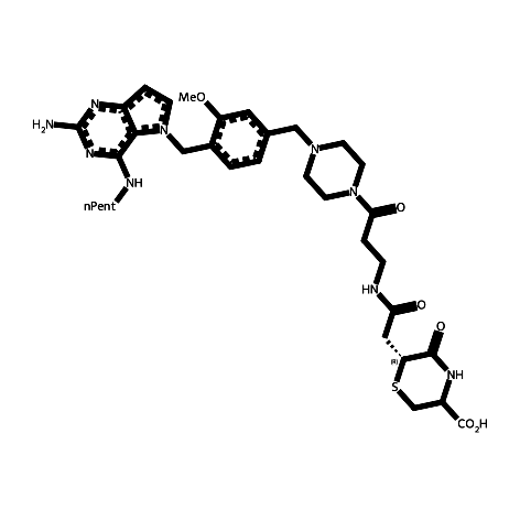 CCCCCNc1nc(N)nc2ccn(Cc3ccc(CN4CCN(C(=O)CCNC(=O)C[C@H]5SCC(C(=O)O)NC5=O)CC4)cc3OC)c12